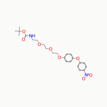 CC(C)(C)OC(=O)NCCOCCOCCOc1ccc(Oc2ccc([N+](=O)[O-])cc2)cc1